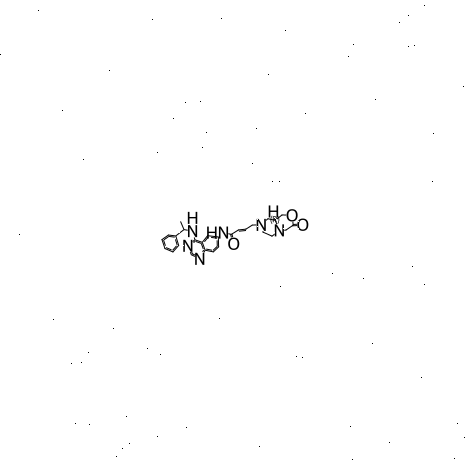 CC(Nc1ncnc2ccc(NC(=O)C=CCN3CCN4CC(=O)OC[C@H]4C3)cc12)c1ccccc1